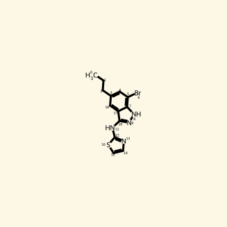 CCCc1cc(Br)c2[nH]nc(Nc3nccs3)c2c1